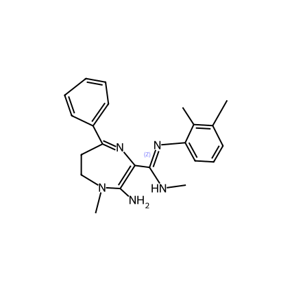 CN/C(=N\c1cccc(C)c1C)C1=C(N)N(C)CCC(c2ccccc2)=N1